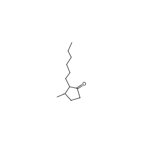 CCCCCCC1[C](C)CCC1=O